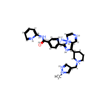 Cn1cc(CN2CCCC(C3=C4C=NC=C[N+]4(N)C(c4ccc(C(=O)Nc5ccccn5)cc4)=N3)C2)cn1